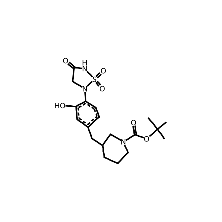 CC(C)(C)OC(=O)N1CCCC(Cc2ccc(N3CC(=O)NS3(=O)=O)c(O)c2)C1